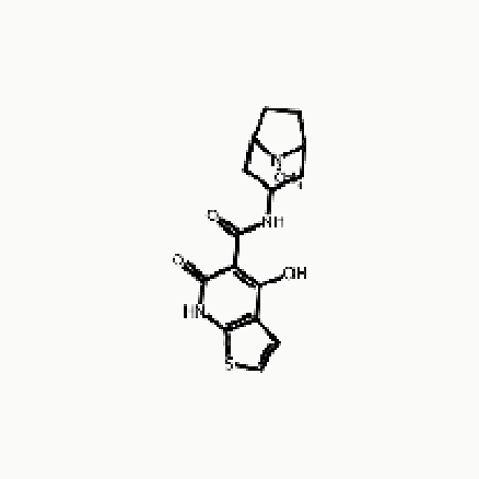 CN1C2CCC1CC(NC(=O)c1c(O)c3ccsc3[nH]c1=O)C2